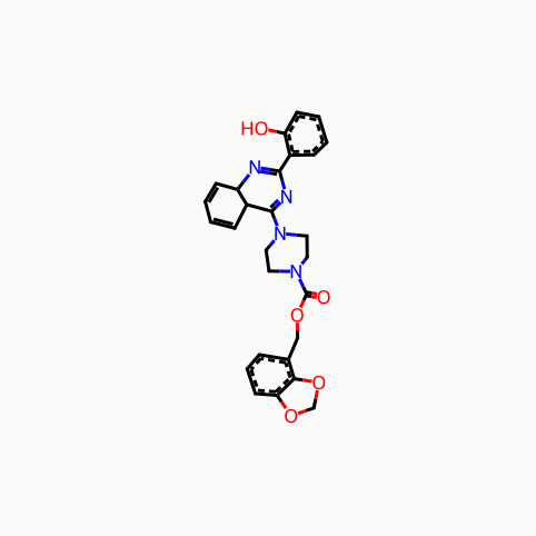 O=C(OCc1cccc2c1OCO2)N1CCN(C2=NC(c3ccccc3O)=NC3C=CC=CC23)CC1